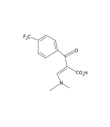 CN(C)C=C(C(=O)O)C(=O)c1ccc(C(F)(F)F)cc1